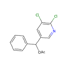 CC(=O)OC(c1ccccc1)c1cnc(Cl)c(Cl)c1